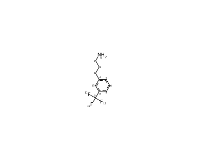 NCCCc1cccc(C(F)(F)F)c1